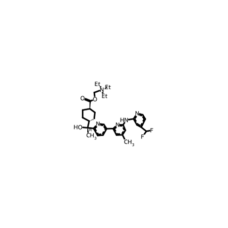 CC[N+](CC)(CC)COC(=O)[C@H]1CC[C@H]([C@@](C)(O)c2ccc(-c3cc(C)cc(Nc4cc(C(F)F)ccn4)n3)cn2)CC1